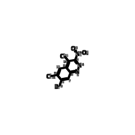 O=[N+]([O-])c1nnc2cc(Br)c(Cl)cc2c1Cl